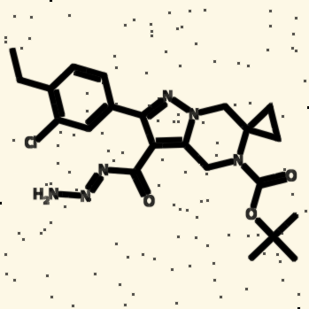 CCc1ccc(-c2nn3c(c2C(=O)N=NN)CN(C(=O)OC(C)(C)C)C2(CC2)C3)cc1Cl